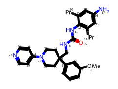 COc1cccc(C2(CNC(=O)Nc3c(C(C)C)cc(N)cc3C(C)C)CCN(c3ccncc3)CC2)c1